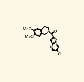 COc1cc2c(cc1OC)CN(C(=O)c1cc3ncc(Cl)cn3n1)CC2